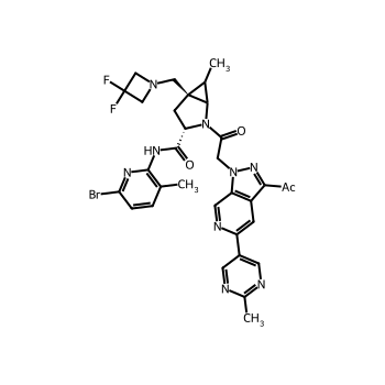 CC(=O)c1nn(CC(=O)N2C3C(C)[C@@]3(CN3CC(F)(F)C3)C[C@H]2C(=O)Nc2nc(Br)ccc2C)c2cnc(-c3cnc(C)nc3)cc12